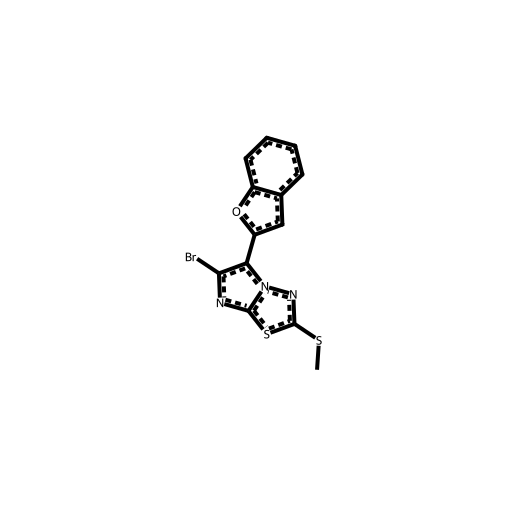 CSc1nn2c(-c3cc4ccccc4o3)c(Br)nc2s1